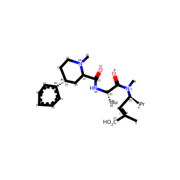 C/C(=C\[C@H](C(C)C)N(C)C(=O)[C@@H](NC(=O)C1C[C@H](c2ccccc2)CCN1C)C(C)(C)C)C(=O)O